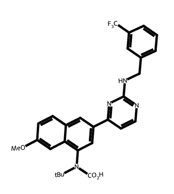 COc1ccc2cc(-c3ccnc(NCc4cccc(C(F)(F)F)c4)n3)cc(N(C(=O)O)C(C)(C)C)c2c1